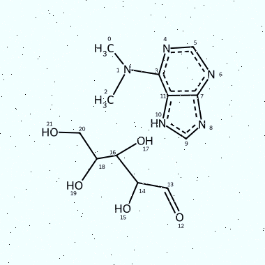 CN(C)c1ncnc2nc[nH]c12.O=CC(O)C(O)C(O)CO